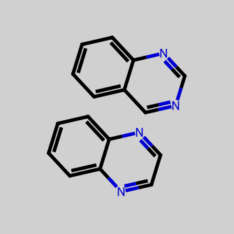 c1ccc2nccnc2c1.c1ccc2ncncc2c1